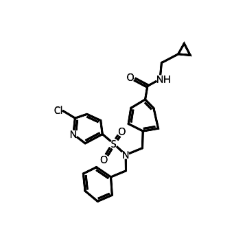 O=C(NCC1CC1)c1ccc(CN(Cc2ccccc2)S(=O)(=O)c2ccc(Cl)nc2)cc1